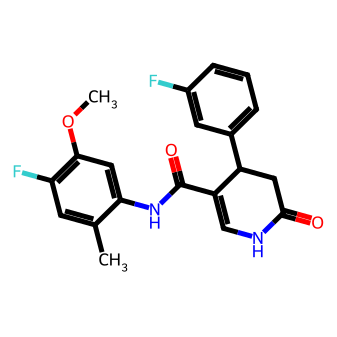 COc1cc(NC(=O)C2=CNC(=O)CC2c2cccc(F)c2)c(C)cc1F